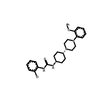 CC(C)Oc1ccccc1N1CCN([C@H]2CC[C@H](NC(=O)Nc3ccccc3Cl)CC2)CC1